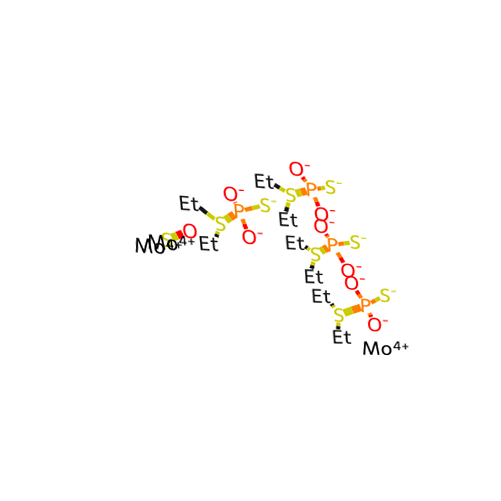 CCS(CC)=P([O-])([O-])[S-].CCS(CC)=P([O-])([O-])[S-].CCS(CC)=P([O-])([O-])[S-].CCS(CC)=P([O-])([O-])[S-].O=S.[Mo+4].[Mo+4].[Mo+4]